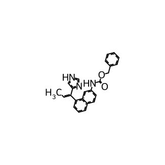 CC=C(c1c[nH]cn1)c1cccc2ccc(NC(=O)OCc3ccccc3)cc12